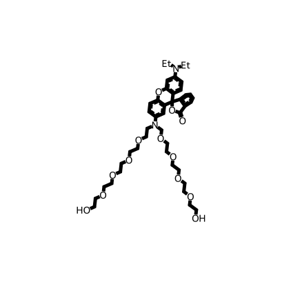 CCN(CC)c1ccc2c(c1)Oc1ccc(N(CCOCCOCCOCCOCCO)COCCOCCOCCOCCO)cc1C21OC(=O)c2ccccc21